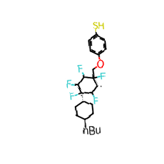 CCCC[C@H]1CC[C@H](C2(F)C(F)[CH]C(F)(COc3ccc(S)cc3)C(F)C2F)CC1